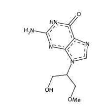 COCC(CO)n1cnc2c(=O)[nH]c(N)nc21